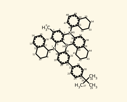 Cc1cc2c3c(c1)N(C1CCCc4ccccc41)c1ccc(-c4ccc(C(C)(C)C)cc4)cc1B3c1c(ccc3c1CCCC3)N2c1cccc2c1CCCC2